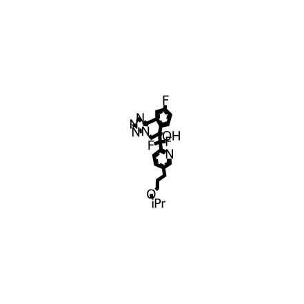 CC(C)OCCCc1ccc(C(F)(F)C2(O)Cn3nnnc3-c3cc(F)ccc32)nc1